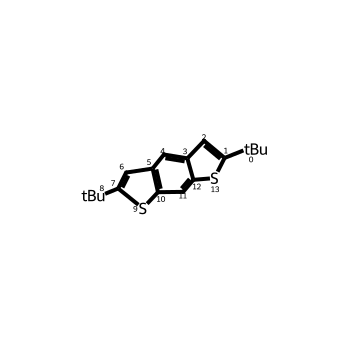 CC(C)(C)c1cc2cc3cc(C(C)(C)C)sc3cc2s1